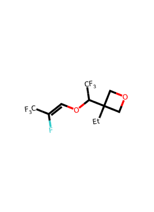 CCC1(C(OC=C(F)C(F)(F)F)C(F)(F)F)COC1